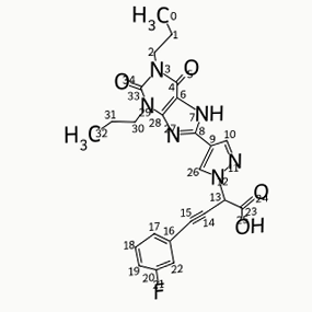 CCCn1c(=O)c2[nH]c(-c3cnn(C(C#Cc4cccc(F)c4)C(=O)O)c3)nc2n(CCC)c1=O